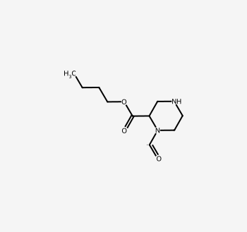 CCCCOC(=O)C1CNCCN1[C]=O